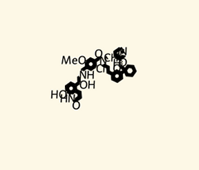 COc1cc(C(=O)N(C)CCCc2cccc(C3(C(=O)O[C@H]4CN5CCC4CC5)CCCCC3)c2)c(Cl)cc1CNCC(O)c1ccc(O)c2[nH]c(=O)ccc12